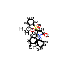 Cc1ccc(C2(C)C(S(=O)(=O)c3ccccc3C)=CC(=O)N2c2ccccc2)cc1